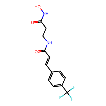 O=C(C=Cc1ccc(C(F)(F)F)cc1)NCCC(=O)NO